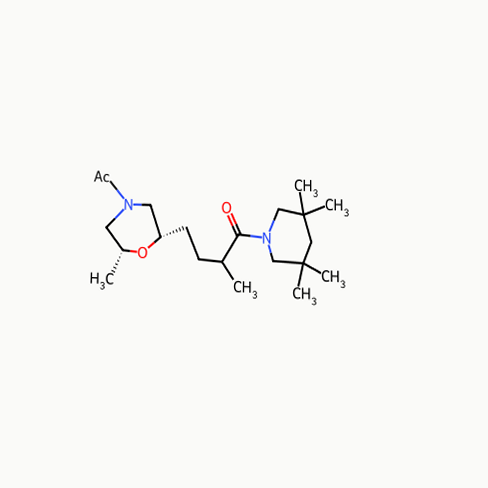 CC(=O)N1C[C@H](CCC(C)C(=O)N2CC(C)(C)CC(C)(C)C2)O[C@H](C)C1